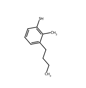 CCCCc1cccc(S)c1C